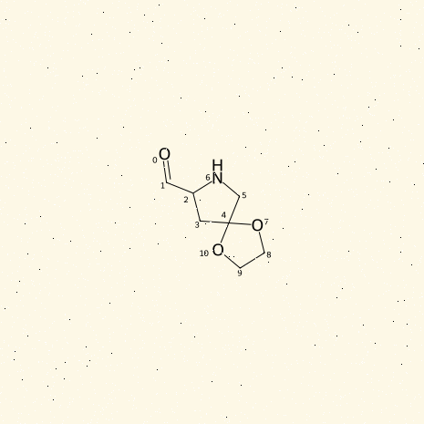 O=CC1CC2(CN1)OCCO2